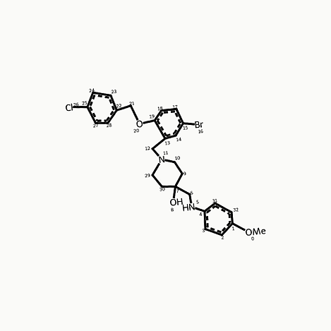 COc1ccc(NCC2(O)CCN(Cc3cc(Br)ccc3OCc3ccc(Cl)cc3)CC2)cc1